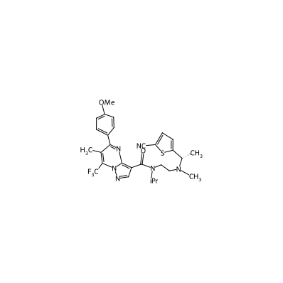 COc1ccc(-c2nc3c(C(=O)N(CCN(C)[C@@H](C)c4ccc(C#N)s4)C(C)C)cnn3c(C(F)(F)F)c2C)cc1